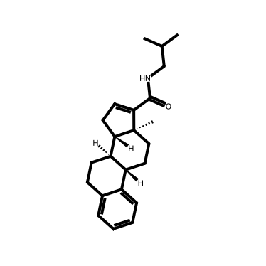 CC(C)CNC(=O)C1=CC[C@H]2[C@@H]3CCc4c[c]ccc4[C@H]3CC[C@]12C